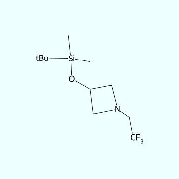 CC(C)(C)[Si](C)(C)OC1CN(CC(F)(F)F)C1